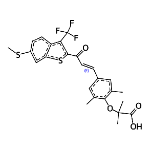 CSc1ccc2c(C(F)(F)F)c(C(=O)/C=C/c3cc(C)c(OC(C)(C)C(=O)O)c(C)c3)sc2c1